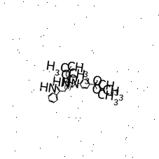 CC(C)(C)OC(=O)N[C@H](CNc1ccc(C(=O)OC(C)(C)C)cc1)Cc1c[nH]c2ccccc12